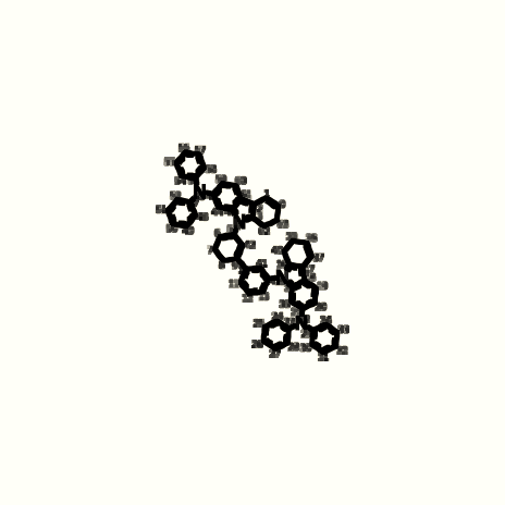 C1=Cc2c(n(C3=CCCC(c4cccc(-n5c6c(c7ccc(N(c8ccccc8)c8ccccc8)cc75)C=CCC6)c4)=C3)c3cc(N(c4ccccc4)c4ccccc4)ccc23)CC1